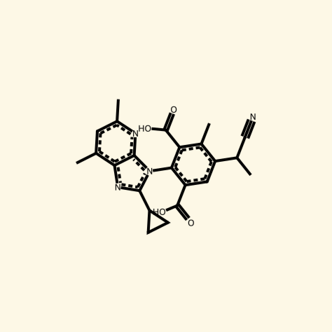 Cc1cc(C)c2nc(C3CC3)n(-c3c(C(=O)O)cc(C(C)C#N)c(C)c3C(=O)O)c2n1